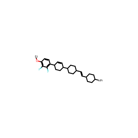 CCCC1CCC(/C=C/C2CCC(C3C=CC(c4ccc(OCC)c(F)c4F)CC3)CC2)CC1